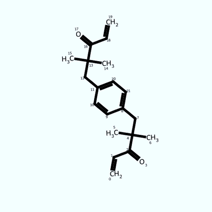 C=CC(=O)C(C)(C)Cc1ccc(CC(C)(C)C(=O)C=C)cc1